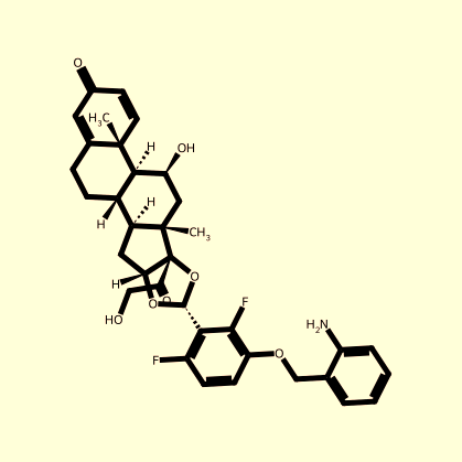 C[C@]12C=CC(=O)C=C1CC[C@@H]1[C@@H]2[C@@H](O)C[C@@]2(C)[C@H]1C[C@H]1O[C@@H](c3c(F)ccc(OCc4ccccc4N)c3F)O[C@]12C(=O)CO